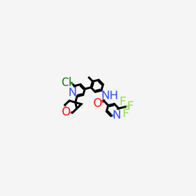 Cc1ccc(NC(=O)c2ccnc(C(F)(F)F)c2)cc1-c1cc(Cl)nc(C23CCOCC2C3)c1